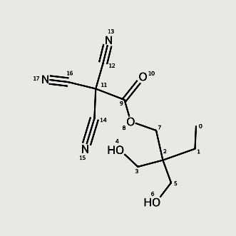 CCC(CO)(CO)COC(=O)C(C#N)(C#N)C#N